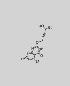 CCc1cc(=O)oc2nc(OCC#CC(O)CC)[nH]c(=O)c12